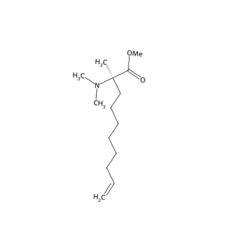 C=CCCCCCC[C@](C)(C(=O)OC)N(C)C